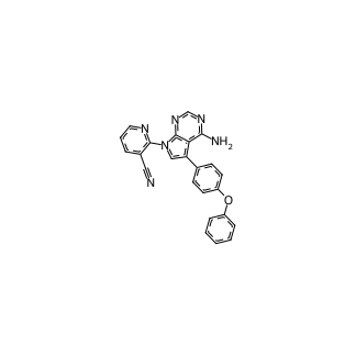 N#Cc1cccnc1-n1cc(-c2ccc(Oc3ccccc3)cc2)c2c(N)ncnc21